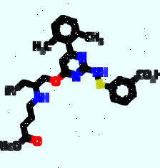 COC(=O)CCCNC(COc1cc(-c2c(C)cccc2C)nc(NSc2cccc(C(=O)O)c2)n1)CC(C)C